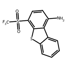 Nc1ccc(S(=O)(=O)C(F)(F)F)c2sc3ccccc3c12